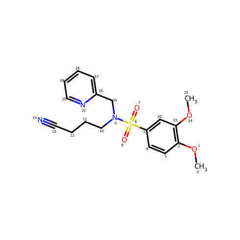 COc1ccc(S(=O)(=O)N(CCCC#N)Cc2ccccn2)cc1OC